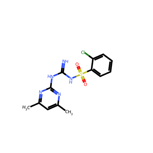 Cc1cc(C)nc(NC(=N)NS(=O)(=O)c2ccccc2Cl)n1